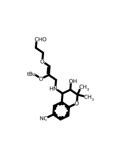 CC(C)(C)O/C(=C\OCCC=O)CNC1c2cc(C#N)ccc2OC(C)(C)C1O